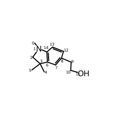 CN1CC(C)(C)c2cc(CCO)ccc21